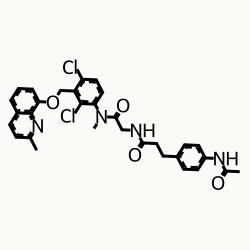 CC(=O)Nc1ccc(CCC(=O)NCC(=O)N(C)c2ccc(Cl)c(COc3cccc4ccc(C)nc34)c2Cl)cc1